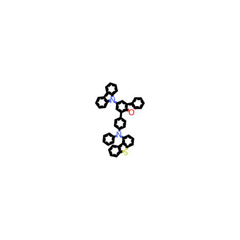 c1ccc(N(c2ccc(-c3cc(-n4c5ccccc5c5ccccc54)cc4c3oc3ccccc34)cc2)c2cccc3sc4ccccc4c23)cc1